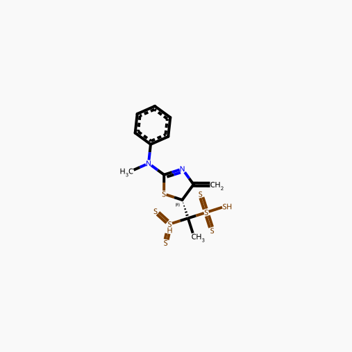 C=C1N=C(N(C)c2ccccc2)S[C@H]1C(C)([SH](=S)=S)S(=S)(=S)S